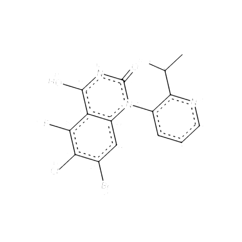 CC(C)c1ncccc1-n1c(=O)nc(O)c2c(F)c(Cl)c(Br)cc21